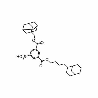 O=C(OCCCCC1CCC2CCCC1C2)c1cc(C(=O)OCC23CC4CC(CC(C4)C2)C3)cc(S(=O)(=O)O)c1